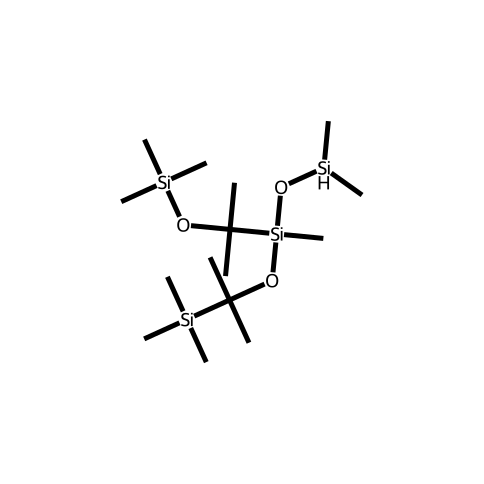 C[SiH](C)O[Si](C)(OC(C)(C)[Si](C)(C)C)C(C)(C)O[Si](C)(C)C